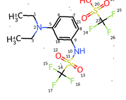 CCN(CC)c1cccc(NS(=O)(=O)C(F)(F)F)c1.O=S(=O)(O)C(F)(F)F